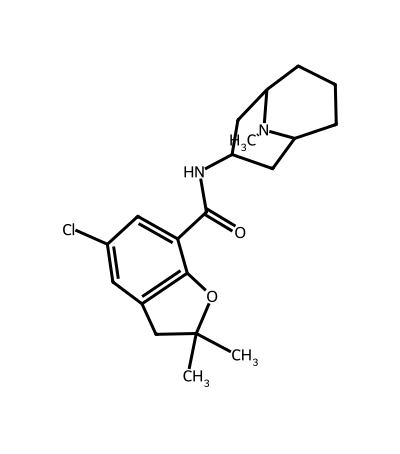 CN1C2CCCC1CC(NC(=O)c1cc(Cl)cc3c1OC(C)(C)C3)C2